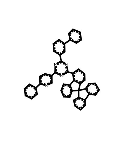 c1ccc(-c2cccc(-c3nc(-c4ccc(-c5ccccc5)nc4)nc(-c4cccc5c4-c4ccccc4C54c5ccccc5-c5ccccc54)n3)c2)cc1